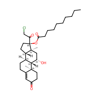 CCCCCCCCCC(=O)O[C@]1(C(=O)CCl)CC[C@H]2[C@@H]3CCC4=CC(=O)CC[C@]4(C)[C@H]3[C@@H](O)C[C@@]21C